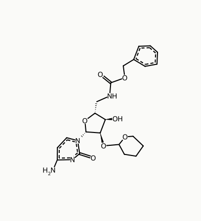 Nc1ccn([C@@H]2O[C@H](CNC(=O)OCc3ccccc3)[C@@H](O)[C@H]2OC2CCCCO2)c(=O)n1